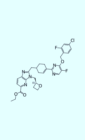 CCOC(=O)c1ccc2nc(CC3CC=C(c4ncc(F)c(OCc5ccc(Cl)cc5F)n4)CC3)n(C[C@@H]3CCO3)c2n1